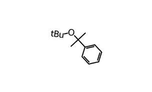 CC(C)(C)OC(C)(C)c1ccccc1